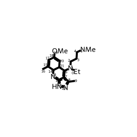 CCN(CCCNC)C1=c2c(C)n[nH]c2=NC2C(C)=CC(OC)=CC12